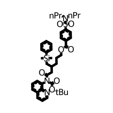 CCCN(CCC)S(=O)(=O)c1ccc(C(=O)OCCCC(CC(=O)N(C(=O)OC(C)(C)C)c2cccc3cccnc23)C[Si](C)(C)c2ccccc2)cc1